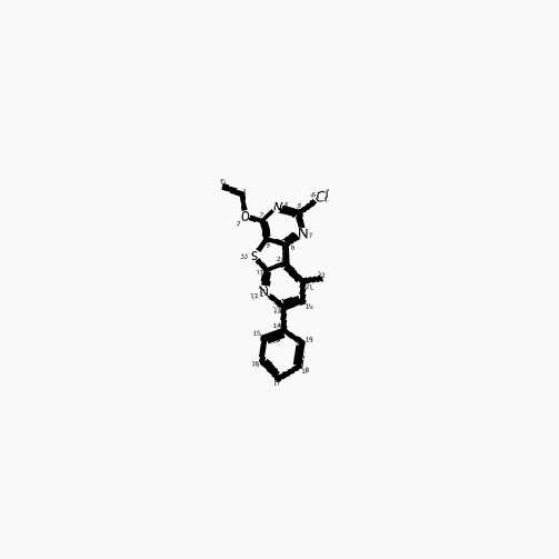 CCOc1nc(Cl)nc2c1sc1nc(-c3ccccc3)cc(C)c12